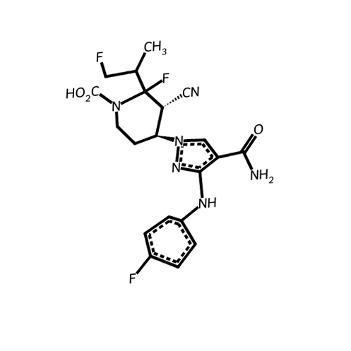 CC(CF)C1(F)[C@H](C#N)[C@@H](n2cc(C(N)=O)c(Nc3ccc(F)cc3)n2)CCN1C(=O)O